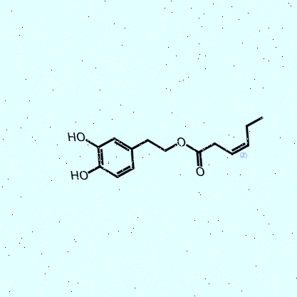 CC/C=C\CC(=O)OCCc1ccc(O)c(O)c1